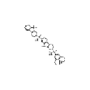 CCC(C)(c1cc2c3c(c1)CCCN3CCC2)c1ccc2c(c1)C(C)(C)c1cc(C(C)(CC)c3ccc4c(c3)C(C)(C)c3ccccc3-4)ccc1-2